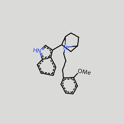 COc1ccccc1CCCN1C2CCC1C(c1c[nH]c3ccccc13)C2